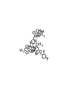 CC(C)(O)C(=O)O.Cc1cc(OCc2ccc(F)cc2F)c(Br)c(=O)n1Cc1cnc(CNC(=O)C(C)(C)O)cn1